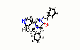 CN(CCc1ccccc1)C(=O)[C@H](Cc1ccccc1)N(Cc1ccncc1)C(=O)O